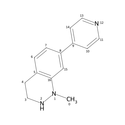 CN1NCCc2ccc(-c3ccncc3)cc21